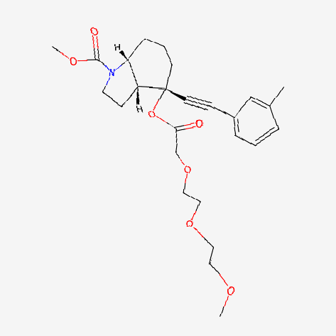 COCCOCCOCC(=O)O[C@@]1(C#Cc2cccc(C)c2)CCC[C@@H]2[C@H]1CCN2C(=O)OC